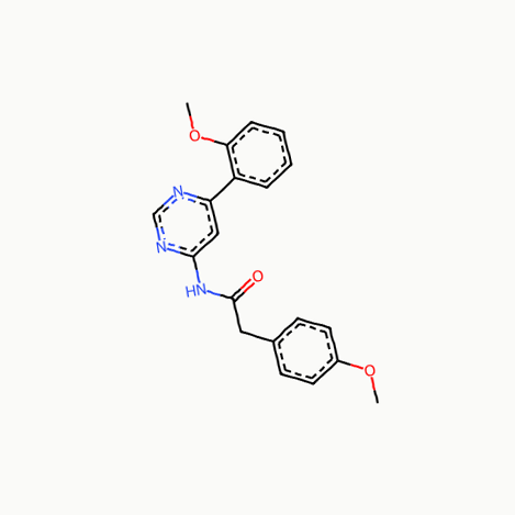 COc1ccc(CC(=O)Nc2cc(-c3ccccc3OC)ncn2)cc1